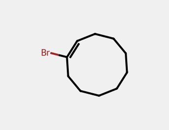 BrC1=CCCCCCCCC1